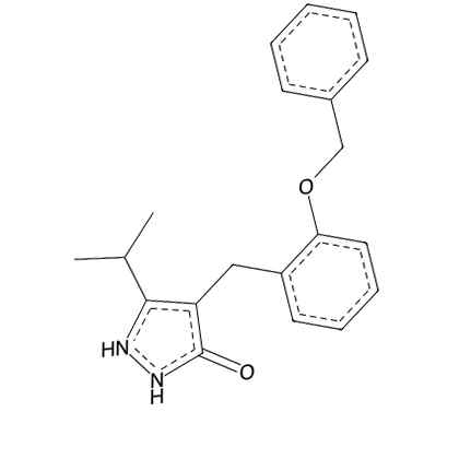 CC(C)c1[nH][nH]c(=O)c1Cc1ccccc1OCc1ccccc1